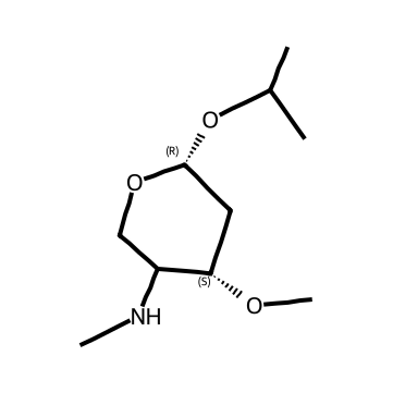 CNC1CO[C@H](OC(C)C)C[C@@H]1OC